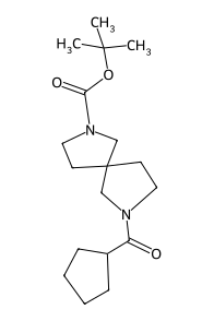 CC(C)(C)OC(=O)N1CCC2(CCN(C(=O)C3CCCC3)C2)C1